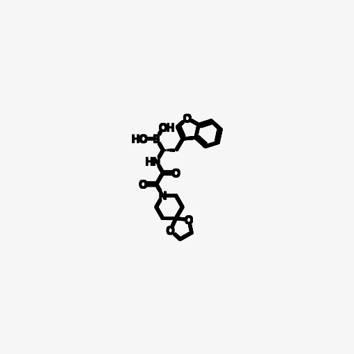 O=C(N[C@@H](Cc1coc2ccccc12)B(O)O)C(=O)N1CCC2(CC1)OCCO2